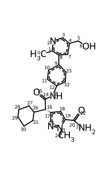 Cc1ncc(CO)cc1-c1ccc(NC(=O)[C@H](c2cc(C(N)=O)n(C)n2)C2CCCCC2)cc1